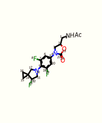 CC(=O)NCC1CN(c2cc(F)c(N3C[C@@H](F)C4(CC4)C3)c(F)c2)C(=O)O1